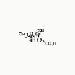 CC(C)(C)c1cc(NC(=O)Nc2ccc(Cl)cc2)n(-c2cccc(CCC(=O)O)c2)n1